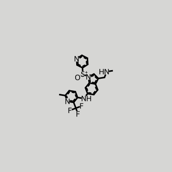 CNCc1cn([S+]([O-])c2cccnc2)c2cc(Nc3ccc(C)nc3C(F)(F)F)ccc12